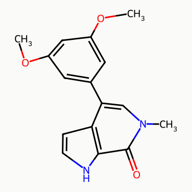 COc1cc(OC)cc(-c2cn(C)c(=O)c3[nH]ccc23)c1